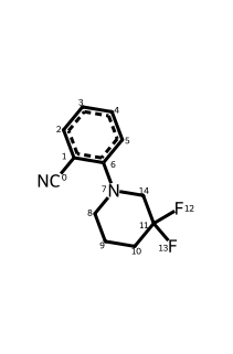 N#Cc1ccccc1N1CCCC(F)(F)C1